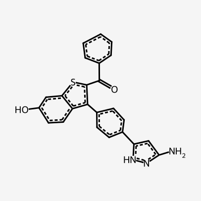 Nc1cc(-c2ccc(-c3c(C(=O)c4ccccc4)sc4cc(O)ccc34)cc2)[nH]n1